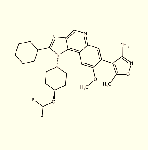 COc1cc2c(cc1-c1c(C)noc1C)ncc1nc(C3CCCCC3)n([C@H]3CC[C@H](OC(F)F)CC3)c12